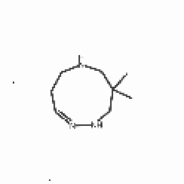 CC1(C)CNCC/C=N\NC1